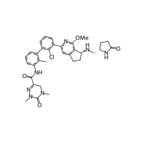 COc1nc(-c2cccc(-c3cccc(NC(=O)C4=NN(C)C(=O)N(C)C4)c3C)c2Cl)cc2c1[C@@H](NC[C@@H]1CCC(=O)N1)CC2